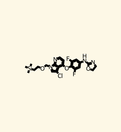 C[Si](C)(C)CCOCn1cc(Cl)c2c(Oc3c(F)cc(NC4=NCCO4)cc3F)ccnc21